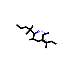 CCCC(C)(C)C(N)C(C)C/C(CC)=C(\C)CC